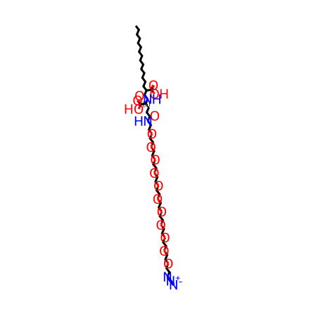 CCCCCCCCCCCCCCCC(C(=O)O)C(=O)N[C@@H](CCC(=O)NCCOCCOCCOCCOCCOCCOCCOCCOCCOCCOCCOCCN=[N+]=[N-])C(=O)O